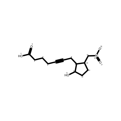 O=C(O)CCCC#CCC1C(O)CCC1C[N+](=O)[O-]